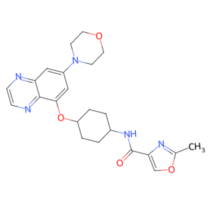 Cc1nc(C(=O)NC2CCC(Oc3cc(N4CCOCC4)cc4nccnc34)CC2)co1